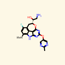 CNc1cc(F)c2c3c1[nH]c1nc(Oc4cnc(C)nc4)nc(c13)O[C@@H](C(O)CN)C2